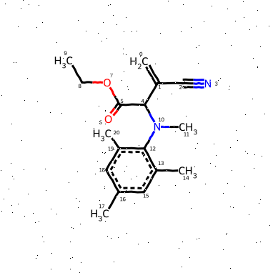 C=C(C#N)C(C(=O)OCC)N(C)c1c(C)cc(C)cc1C